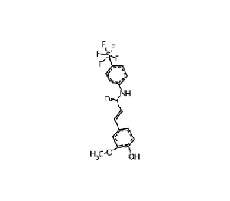 COc1cc(C=CC(=O)Nc2ccc(S(F)(F)(F)(F)F)cc2)ccc1O